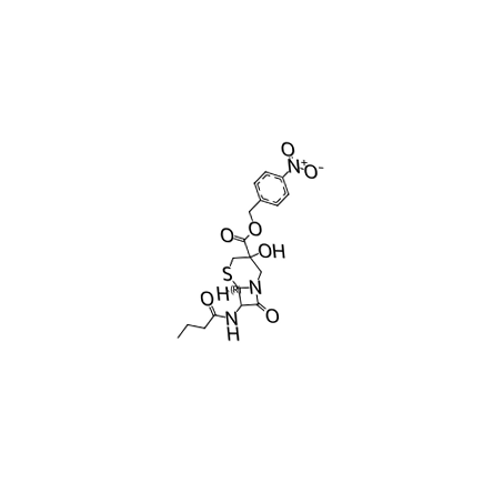 CCCC(=O)NC1C(=O)N2CC(O)(C(=O)OCc3ccc([N+](=O)[O-])cc3)CS[C@H]12